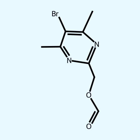 Cc1nc(COC=O)nc(C)c1Br